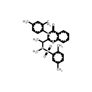 Cc1ccc(-n2c(C(C)N(C)S(=O)(=O)c3cc(C)ccc3C)nc3ccccc3c2=O)c(C)c1